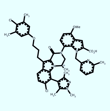 COc1ccc(N2C[C@@H](C)n3c(c(CCCOc4cc(C)c(Cl)c(C)c4)c4ccc(Cl)c(-c5c(C)nn(C)c5C)c43)C2=O)c2c1cc(C(=O)O)n2Cc1cccc(C)n1